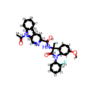 COc1ccc2c(c1)N(c1ccccc1F)C(=O)C2(C)NC(=O)c1cc2c3ccccc3n(C(C)=O)c2cn1